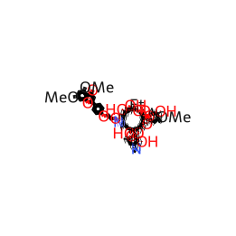 CC[C@H]1OC(=O)[C@H](C)[C@@H](O[C@H]2C[C@@](C)(OC)[C@@H](O)[C@H](C)O2)[C@H](C)[C@@H](O[C@@H]2O[C@H](C)C[C@H](N(C)C)[C@H]2O)[C@](C)(O)C[C@@H](C)/C(=N/OCCOc2ccc(-c3cc(=O)c4c(OC)cc(OC)cc4o3)cc2)[C@H](C)[C@@H](O)[C@]1(C)O